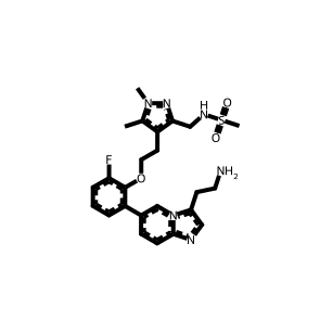 Cc1c(CCOc2c(F)cccc2-c2ccc3ncc(CCN)n3c2)c(CNS(C)(=O)=O)nn1C